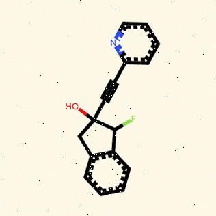 OC1(C#Cc2ccccn2)Cc2ccccc2C1F